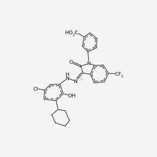 O=C(O)c1cccc(N2C(=O)/C(=N\Nc3cc(Cl)cc(C4CCCCC4)c3O)c3ccc(C(F)(F)F)cc32)c1